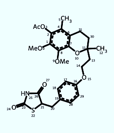 COc1c(OC(C)=O)c(C)c2c(c1OC)OC(C)(CCOc1ccc(CC3SC(=O)NC3=O)cc1)CC2